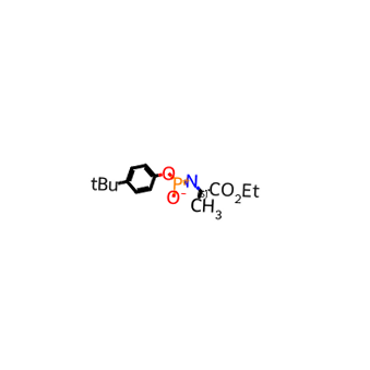 CCOC(=O)[C@H](C)N=[P+]([O-])Oc1ccc(C(C)(C)C)cc1